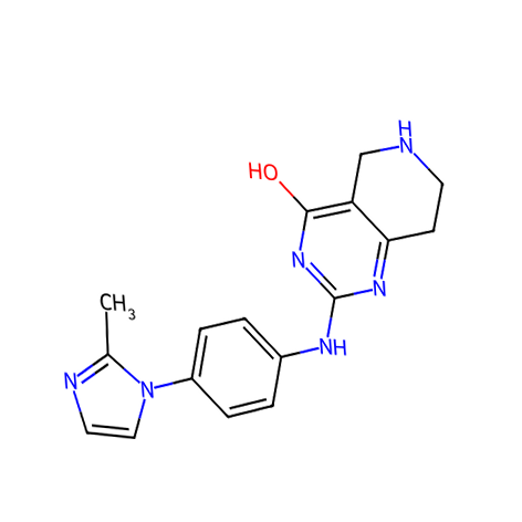 Cc1nccn1-c1ccc(Nc2nc(O)c3c(n2)CCNC3)cc1